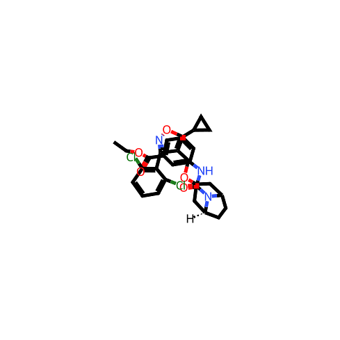 CCOC(=O)c1cccc(NC(=O)N2C3CC[C@H]2CC(OCc2c(-c4c(Cl)cccc4Cl)noc2C2CC2)C3)c1